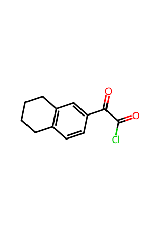 O=C(Cl)C(=O)c1ccc2c(c1)CCCC2